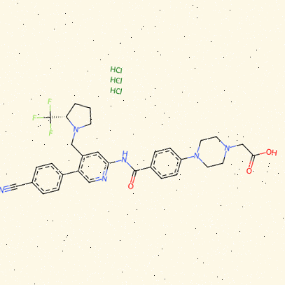 Cl.Cl.Cl.N#Cc1ccc(-c2cnc(NC(=O)c3ccc(N4CCN(CC(=O)O)CC4)cc3)cc2CN2CCC[C@H]2C(F)(F)F)cc1